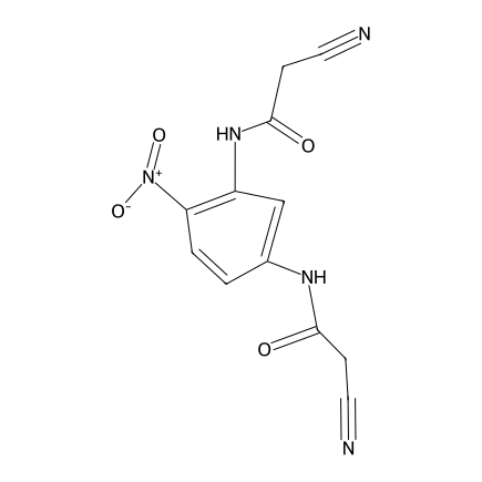 N#CCC(=O)Nc1ccc([N+](=O)[O-])c(NC(=O)CC#N)c1